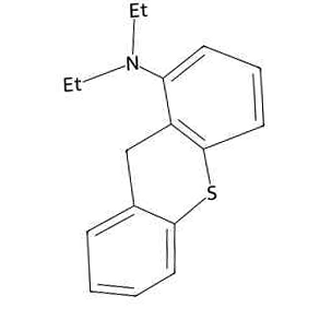 CCN(CC)c1cccc2c1Cc1ccccc1S2